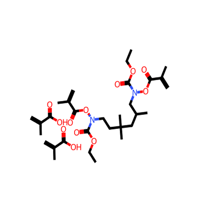 C=C(C)C(=O)O.C=C(C)C(=O)O.C=C(C)C(=O)ON(CCC(C)(C)CC(C)CN(OC(=O)C(=C)C)C(=O)OCC)C(=O)OCC